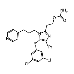 CC(C)c1nc(CCOC(N)=O)n(CCCc2ccncc2)c1Sc1cc(Cl)cc(Cl)c1